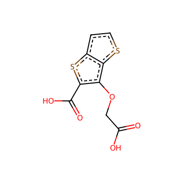 O=C(O)COc1c(C(=O)O)sc2ccsc12